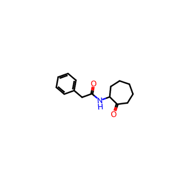 O=C(Cc1ccccc1)NC1CCCCCC1=O